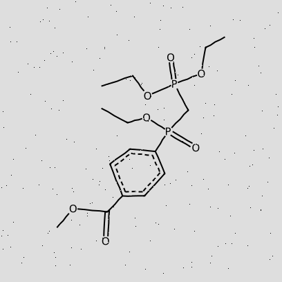 CCOP(=O)(CP(=O)(OCC)c1ccc(C(=O)OC)cc1)OCC